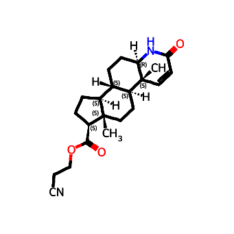 C[C@]12C=CC(=O)N[C@@H]1CC[C@@H]1[C@@H]2CC[C@]2(C)[C@@H](C(=O)OCCC#N)CC[C@@H]12